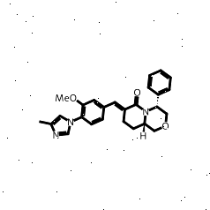 COc1cc(/C=C2\CC[C@H]3COC[C@@H](c4ccccc4)N3C2=O)ccc1-n1cnc(C)c1